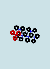 c1ccc(-c2c3ccccc3c(-c3ccccc3N3c4cc5c(cc4B4c6ccccc6N(c6ccccc6)c6cc(N(c7ccccc7)c7ccccc7)cc3c64)B3c4ccccc4N(c4ccccc4)c4cc(N(c6ccccc6)c6ccccc6)cc(c43)N5c3ccccc3)c3ccccc23)cc1